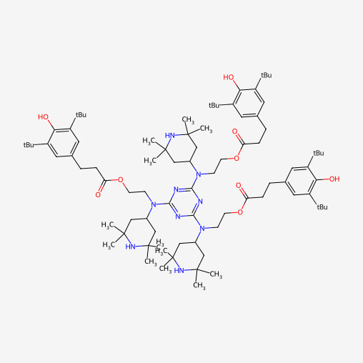 CC1(C)CC(N(CCOC(=O)CCc2cc(C(C)(C)C)c(O)c(C(C)(C)C)c2)c2nc(N(CCOC(=O)CCc3cc(C(C)(C)C)c(O)c(C(C)(C)C)c3)C3CC(C)(C)NC(C)(C)C3)nc(N(CCOC(=O)CCc3cc(C(C)(C)C)c(O)c(C(C)(C)C)c3)C3CC(C)(C)NC(C)(C)C3)n2)CC(C)(C)N1